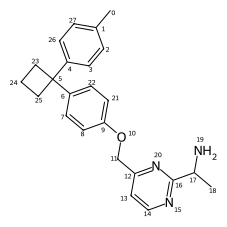 Cc1ccc(C2(c3ccc(OCc4ccnc(C(C)N)n4)cc3)CCC2)cc1